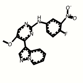 COc1cnc(Nc2ccc(F)c([N+](=O)[O-])c2)nc1-c1cnn2ccccc12